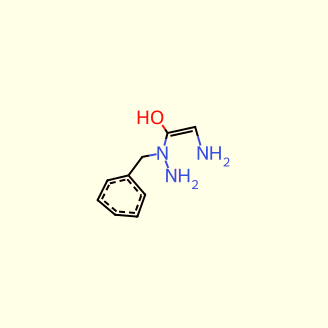 N/C=C(/O)N(N)Cc1ccccc1